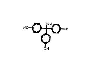 CCCCC(c1ccc(O)cc1)(c1ccc(O)cc1)c1ccc(Br)cc1